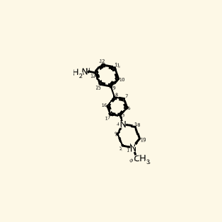 CN1CCN(c2ccc(-c3cccc(N)c3)cc2)CC1